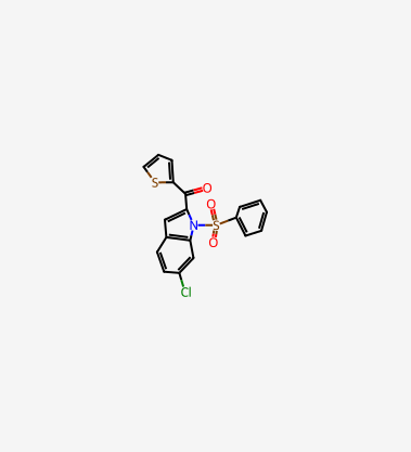 O=C(c1cccs1)c1cc2ccc(Cl)cc2n1S(=O)(=O)c1ccccc1